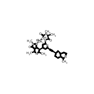 Cc1nc(C)c2c(=O)n(C)n(C)c2c1-c1cc(C#Cc2ccc3c(C)nccc3c2)nc(NC(=O)C(C)N(C)C(=O)OC(C)(C)C)c1